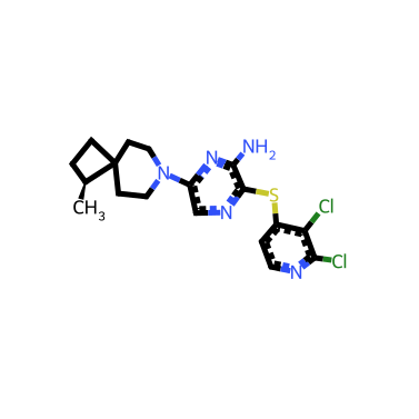 C[C@H]1CCC12CCN(c1cnc(Sc3ccnc(Cl)c3Cl)c(N)n1)CC2